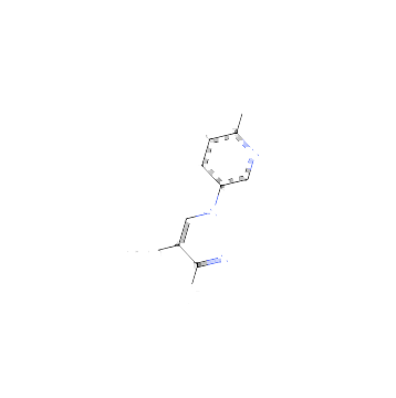 N=C(/C(C=O)=C\Nc1ccc(C(F)(F)F)nc1)C(F)(F)F